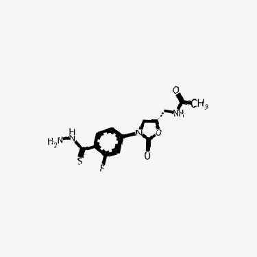 CC(=O)NC[C@H]1CN(c2ccc(C(=S)NN)c(F)c2)C(=O)O1